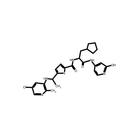 Cc1ncc(Cl)cc1NC(C)c1ccc(C(=O)NC(CC2CCCC2)C(=O)Nc2ccnc(O)c2)s1